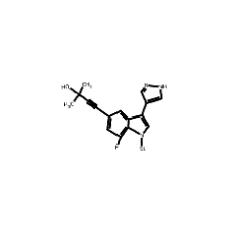 CCn1cc(-c2cn[nH]c2)c2cc(C#CC(C)(C)O)cc(F)c21